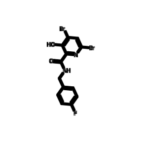 O=C(NCc1ccc(F)cc1)c1nc(Br)cc(Br)c1O